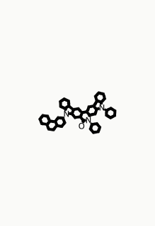 O=c1c2cc3c(cc2c2cc4c5ccccc5n(-c5ccccc5)c4cc2n1-c1ccccc1)c1ccccc1n3-c1ccc2ccc3ccccc3c2c1